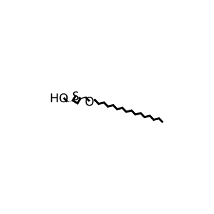 CCCCCCCCCCCCCCCCOC[C@H]1C[C@H](CO)S1